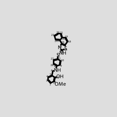 COc1cccc(CNc2ccc(SNc3nc4c(ccc5ccccc54)s3)cc2)c1O